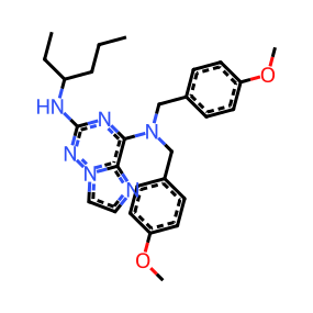 CCCC(CC)Nc1nc(N(Cc2ccc(OC)cc2)Cc2ccc(OC)cc2)c2nccn2n1